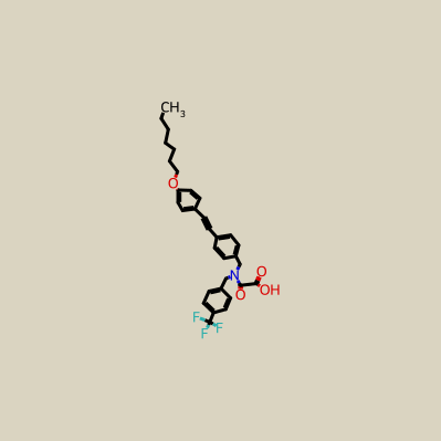 CCCCCCCOc1ccc(C#Cc2ccc(CN(Cc3ccc(C(F)(F)F)cc3)C(=O)C(=O)O)cc2)cc1